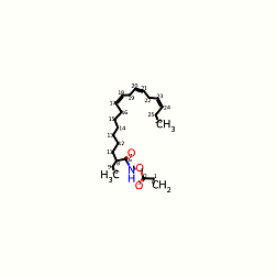 C=CC(=O)ONC(=O)C(CC)CCCCCC/C=C\C/C=C\C/C=C\CC